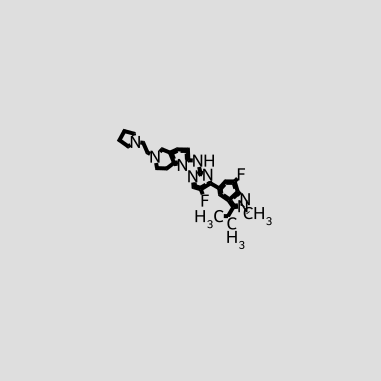 CC(C)c1c2cc(-c3nc(Nc4ccc5c(n4)CCN(CCN4CCCC4)C5)ncc3F)cc(F)c2nn1C